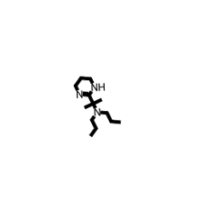 CCCN(CCC)C(C)(C)C1=NCCCN1